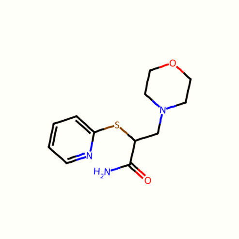 NC(=O)C(CN1CCOCC1)Sc1ccccn1